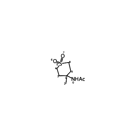 CC(=O)NC1(C)CCS(=O)(=O)CC1